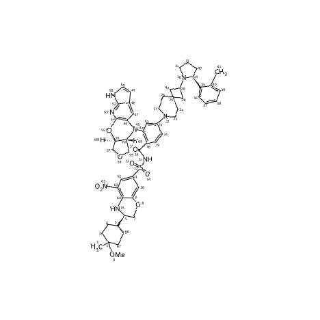 COC1(C)CCC([C@@H]2COc3cc(S(=O)(=O)NC(=O)c4ccc(N5CCC6(CC5)CC(N5CCC[C@H]5c5ccccc5C)C6)cc4N4c5cc6cc[nH]c6nc5O[C@@H]5COC[C@H]54)cc([N+](=O)[O-])c3N2)CC1